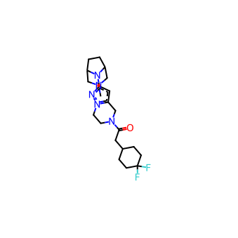 CN1CC2CCC(C1)N2c1cc2n(n1)CCN(C(=O)CC1CCC(F)(F)CC1)C2